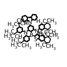 CC(C)(C)c1cc(N2c3cc(C(C)(C)C)ccc3B3c4sc5cc6c(cc5c4N(c4ccc5c(c4)C(C)(C)CCC5(C)C)c4cc(-n5c7ccccc7c7ccccc75)cc2c43)C(C)(C)CCC6(C)C)cc(C(C)(C)C)c1